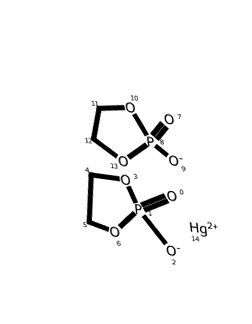 O=P1([O-])OCCO1.O=P1([O-])OCCO1.[Hg+2]